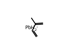 C=CC(=C)C.[PbH2]